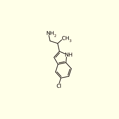 CC(CN)c1cc2cc(Cl)ccc2[nH]1